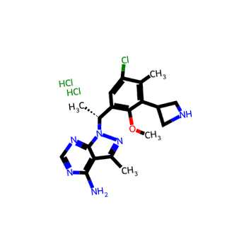 COc1c([C@@H](C)n2nc(C)c3c(N)ncnc32)cc(Cl)c(C)c1C1CNC1.Cl.Cl